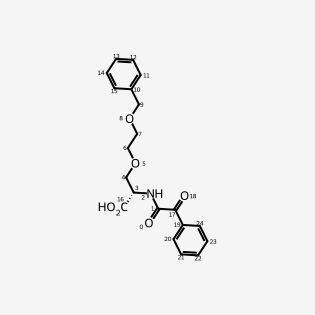 O=C(N[C@@H](COCCOCc1ccccc1)C(=O)O)C(=O)c1ccccc1